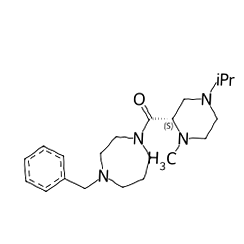 CC(C)N1CCN(C)[C@H](C(=O)N2CCCN(Cc3ccccc3)CC2)C1